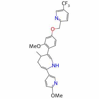 COc1ccc(C2=CCC(C)C(c3ccc(OCc4ccc(C(F)(F)F)cn4)cc3OC)=CN2)cn1